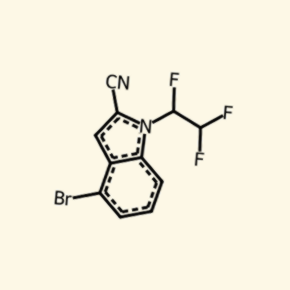 N#Cc1cc2c(Br)cccc2n1C(F)C(F)F